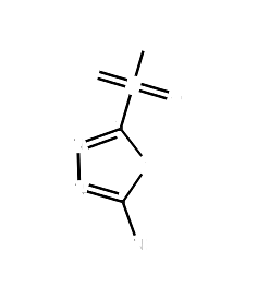 CCCS(=O)(=O)c1nnc(N)s1